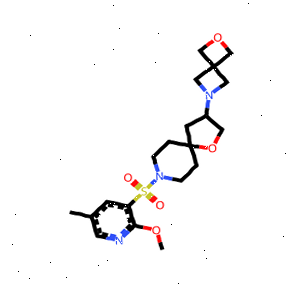 COc1ncc(C)cc1S(=O)(=O)N1CCC2(CC1)CC(N1CC3(COC3)C1)CO2